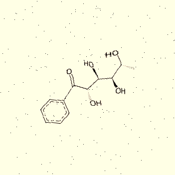 C[C@@H](O)[C@@H](O)[C@H](O)[C@H](O)C(=O)c1ccccc1